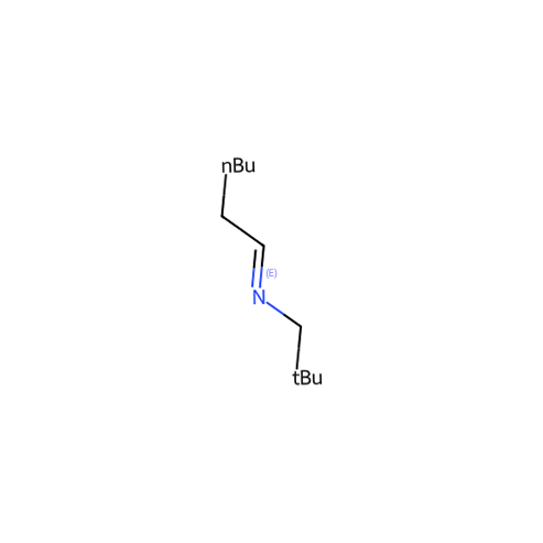 CCCCC/C=N/CC(C)(C)C